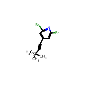 C[Si](C)(C)C#Cc1cc(Br)nc(Br)c1